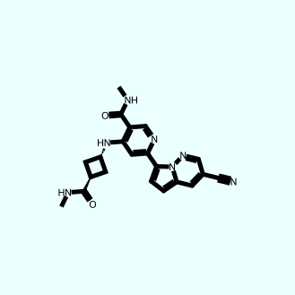 CNC(=O)c1cnc(-c2ccc3cc(C#N)cnn23)cc1N[C@H]1C[C@H](C(=O)NC)C1